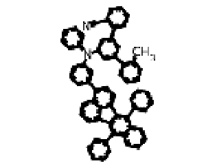 Cc1ccccc1-c1cc(-c2ccccc2C#N)cc(N(c2ccccc2)c2cccc(-c3ccc4c5c(cccc35)-c3c-4c(-c4ccccc4)c4ccccc4c3-c3ccccc3)c2)c1